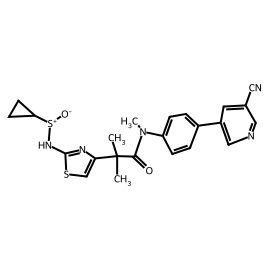 CN(C(=O)C(C)(C)c1csc(N[S+]([O-])C2CC2)n1)c1ccc(-c2cncc(C#N)c2)cc1